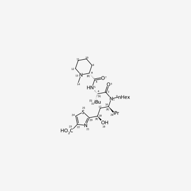 CCCCCCN(C(=O)[C@@H](NC(=O)[C@H]1CCCCN1C)[C@@H](C)CC)[C@H](C[C@@H](O)c1nc(C(=O)O)cs1)C(C)C